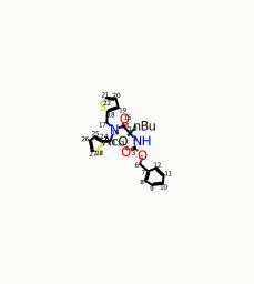 CCCCC(NC(=O)OCc1ccccc1)(OC(C)=O)C(=O)N(Cc1cccs1)Cc1cccs1